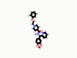 O=C(N[C@H](c1ccc2c(c1)OCO2)c1ccccn1)C1CCN(CCOc2ccccc2F)CC1